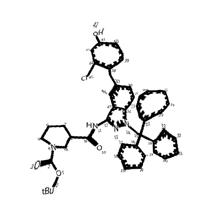 CC(C)(C)OC(=O)N1CCCC(C(=O)Nc2nn(C(c3ccccc3)(c3ccccc3)c3ccccc3)c3ccc(-c4ccc(O)cc4Cl)cc23)C1